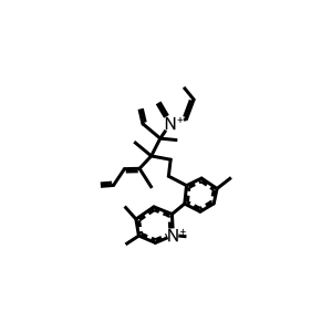 C=C/C=C(\C)C(C)(CCc1cc(C)ccc1-c1cc(C)c(C)c[n+]1C)C(C)(C=C)[N+](=C)/C=C\C